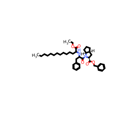 CCCCCCCCCCCCC(NC(Cc1ccccc1)C(=O)N1[C@H](C(=O)OCc2ccccc2)C[C@@H]2CCC[C@@H]21)C(=O)OCC